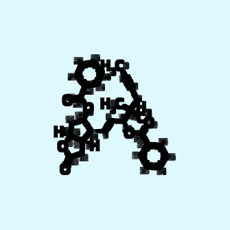 CC#CCC(C)(C)[C@@H](/C=C/[C@@H]1[C@H]2CC(=O)O[C@H]2C[C@H]1OC(=O)c1ccccc1)OC(=O)c1ccccc1